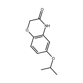 CC(C)Oc1ccc2c(c1)NC(=O)CO2